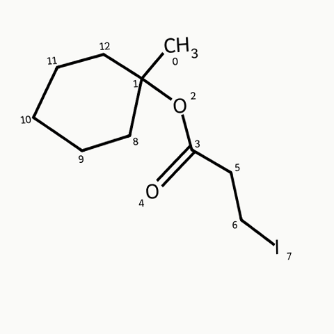 CC1(OC(=O)CCI)CCCCC1